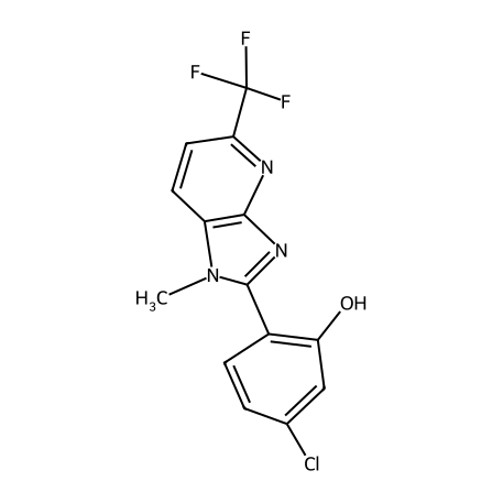 Cn1c(-c2ccc(Cl)cc2O)nc2nc(C(F)(F)F)ccc21